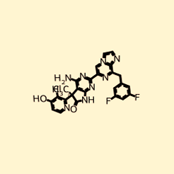 C[C@]1(c2nccc(O)c2Cl)C(=O)Nc2nc(-c3cn4ccnc4c(Cc4cc(F)cc(F)c4)n3)nc(N)c21